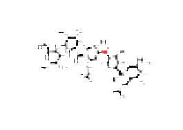 COC1C(OC)[C@H](O[C@H]2O[C@@H](COC(C)=O)[C@@H](O[C@@H]3OC(C(=O)O)[C@@H](O[C@H]4OC(COC(C)=O)[C@@H](OC)[C@H](OC)C4N)[C@H](OC)C3OC)C(C)C2O)[C@H](C(=O)O)O[C@H]1O[C@@H]1C(CO)O[C@H](OC)C(O)[C@H]1O